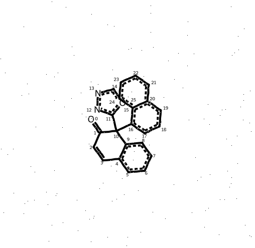 O=C1C=Cc2ccccc2C1(c1nnco1)c1cccc2ccccc12